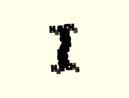 Cc1cc2cc3sc4cc5c(cc4c3cc2cc1C)sc1cc2cc(C)c(C)cc2cc15